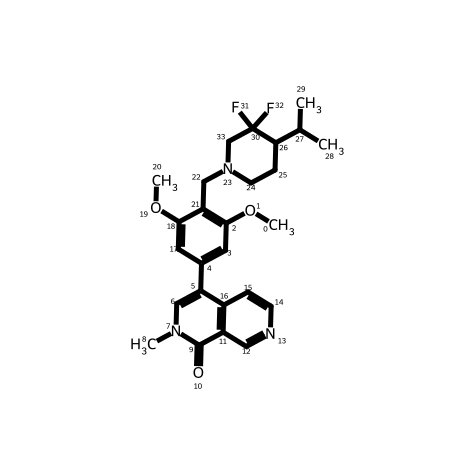 COc1cc(-c2cn(C)c(=O)c3cnccc23)cc(OC)c1CN1CCC(C(C)C)C(F)(F)C1